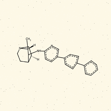 C[C@@H]1[C@@H](Nc2ccc(-c3ccc(-c4ccccc4)cc3)cn2)C2CCN1CC2